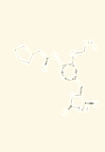 CCOc1cc(/C=C2\SC(=O)NC2=O)ccc1OC(=O)CC1CCCC1